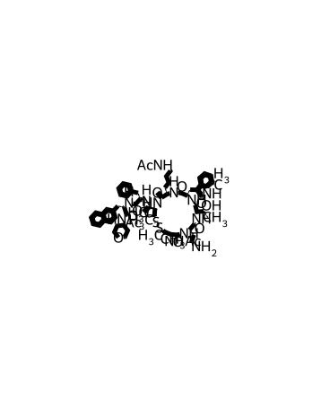 CC(=O)NCCCC[C@@H]1NC(=O)[C@H](Cc2c[nH]c3c(C)cccc23)NC(=O)[C@H]([C@@H](C)O)NC(=O)[C@H](CCN)NC(=O)[C@@H](NC(C)=O)C(C)(C)SSC(C)(C)[C@@H](C(=O)N[C@@H](Cc2ccccc2)C(=O)N[C@@H](Cc2ccc3ccccc3c2)C(=O)NC2(C(C)=O)CCOCC2)NC1=O